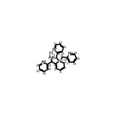 [AsH2]C(C1=CC=CC[N+]1(Cc1ccccn1)Cc1ccccn1)c1ccccn1